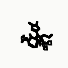 CCCC1=[C]([Hf]([Cl])[Cl])C2=CC=C[C](=[Ge]([CH3])[CH3])C(C)C2=C1C1=CC(C)=C(C)C1